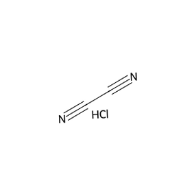 Cl.N#CC#N